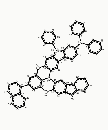 c1ccc(N(c2ccccc2)c2ccc3c4cc5c(cc4n(-c4ccccc4)c3c2)Oc2cc(-c3cccc4ccccc34)cc3c2B5c2cc4c(cc2O3)sc2ccccc24)cc1